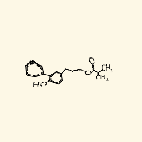 C=C(C)C(=O)OCCCc1ccc(O)c(-c2ccccc2)c1